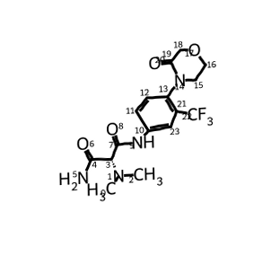 CN(C)[C@H](C(N)=O)C(=O)Nc1ccc(N2CCOCC2=O)c(C(F)(F)F)c1